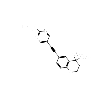 CCOC(=O)c1ncc(C#Cc2ccc3c(c2)C(SC)(SC)CCO3)cn1